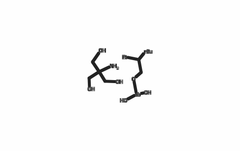 CCCCC(CC)C[O][Sb]([OH])[OH].NC(CO)(CO)CO